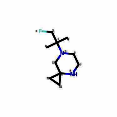 CC(C)(CF)N1CCNC2(CC2)C1